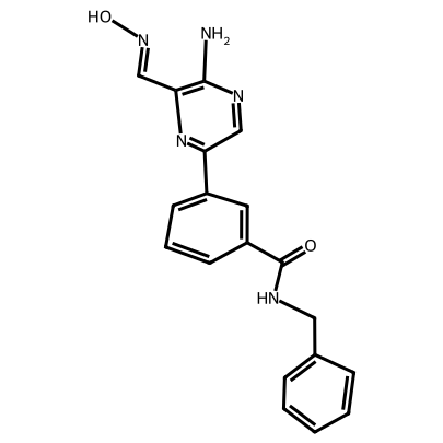 Nc1ncc(-c2cccc(C(=O)NCc3ccccc3)c2)nc1/C=N/O